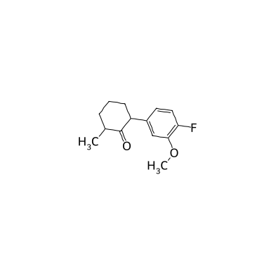 COc1cc(C2CCCC(C)C2=O)ccc1F